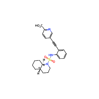 O=C(O)c1ccc(C#Cc2ccccc2NS(=O)(=O)N2CCC[C@@H]3CCCC[C@H]32)cn1